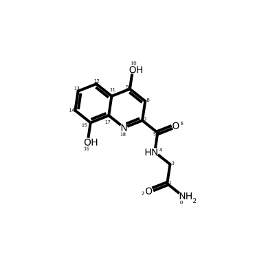 NC(=O)CNC(=O)c1cc(O)c2cccc(O)c2n1